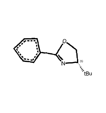 CC(C)(C)[C@H]1COC(c2ccccc2)=N1